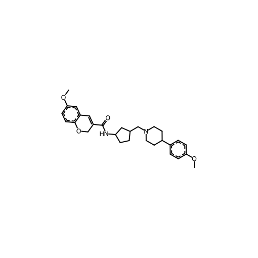 COc1ccc(C2CCN(CC3CCC(NC(=O)C4=Cc5cc(OC)ccc5OC4)C3)CC2)cc1